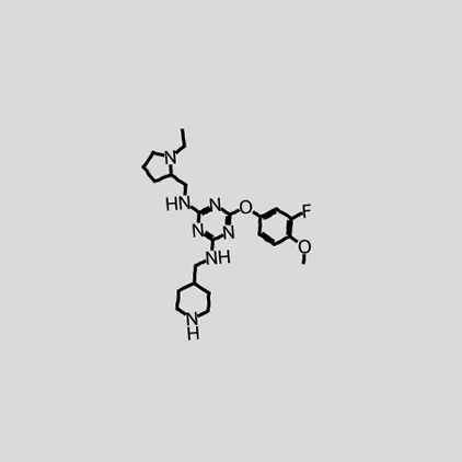 CCN1CCCC1CNc1nc(NCC2CCNCC2)nc(Oc2ccc(OC)c(F)c2)n1